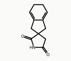 O=C1CC2(CC3=CCCC=C3C2)C(=O)N1